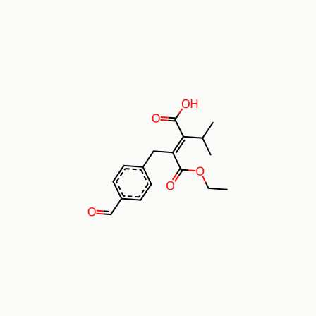 CCOC(=O)C(Cc1ccc(C=O)cc1)=C(C(=O)O)C(C)C